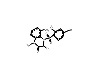 Cc1cc(Br)ccc1S(=O)(=O)N1c2c(C)cccc2N(C)C(=O)C1C